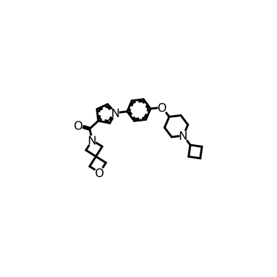 O=C(c1ccn(-c2ccc(OC3CCN(C4CCC4)CC3)cc2)c1)N1CC2(COC2)C1